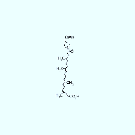 COCC1CCN(C(=O)/C=C/C(C)=C/C=C/C(C)=C/C=C/C=C(C)/C=C/C=C(C)\C=C\C(=O)O)CC1